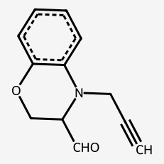 C#CCN1c2ccccc2OCC1C=O